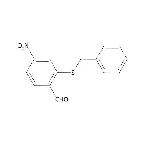 O=[C]c1ccc([N+](=O)[O-])cc1SCc1ccccc1